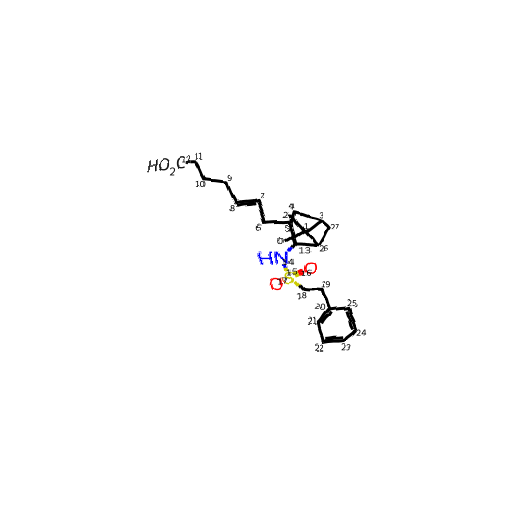 CC1(C)C2CC(C/C=C/CCCC(=O)O)C(NS(=O)(=O)CCc3ccccc3)C1C2